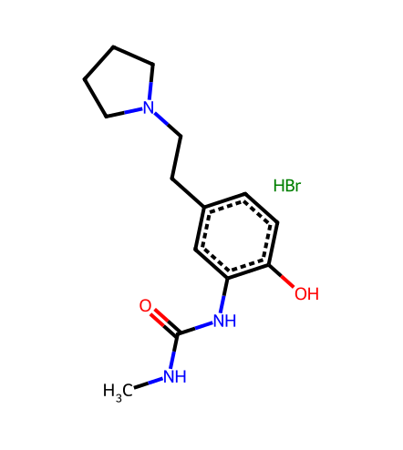 Br.CNC(=O)Nc1cc(CCN2CCCC2)ccc1O